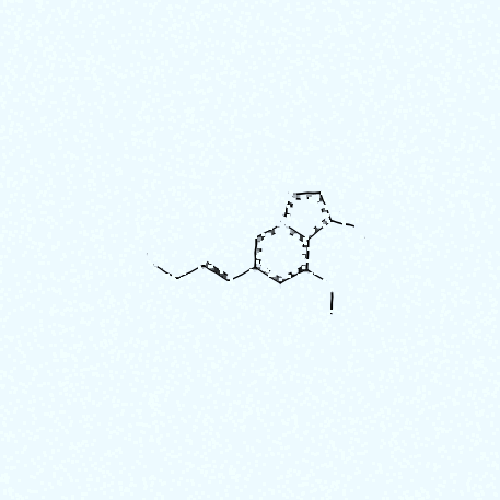 COc1cc(C=CCN)cn2ncc(Cl)c12